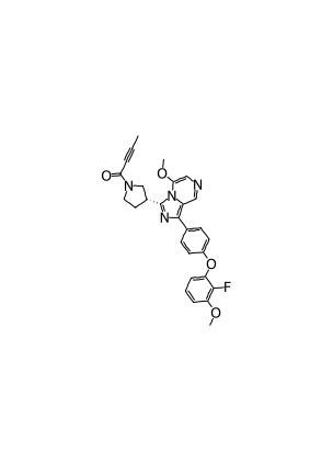 CC#CC(=O)N1CC[C@@H](c2nc(-c3ccc(Oc4cccc(OC)c4F)cc3)c3cncc(OC)n23)C1